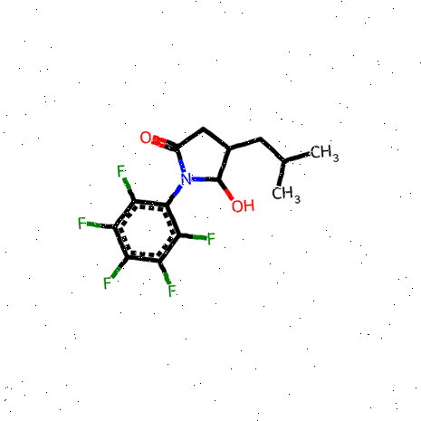 CC(C)CC1CC(=O)N(c2c(F)c(F)c(F)c(F)c2F)C1O